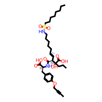 CC#CCOc1ccc(C[C@H](NC(=O)[C@@H](/C=C/CCCCCNS(=O)(=O)CCCCCCCC)[C@@](O)(CCC)C(=O)O)C(=O)O)cc1